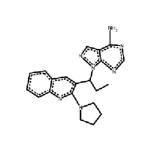 CCC(c1cc2ccccc2nc1N1CCCC1)n1ncc2c(N)ncnc21